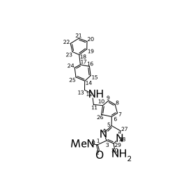 CNC(=O)c1nc(-c2cccc(CNCc3ccc(-c4ccccc4)cc3)c2)cnc1N